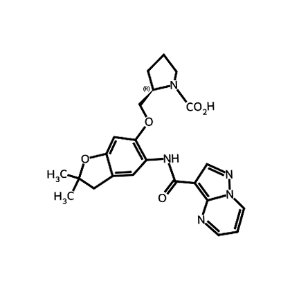 CC1(C)Cc2cc(NC(=O)c3cnn4cccnc34)c(OC[C@H]3CCCN3C(=O)O)cc2O1